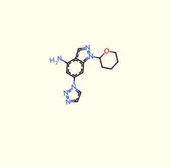 Nc1cc(-n2ccnn2)cc2c1cnn2C1CCCCO1